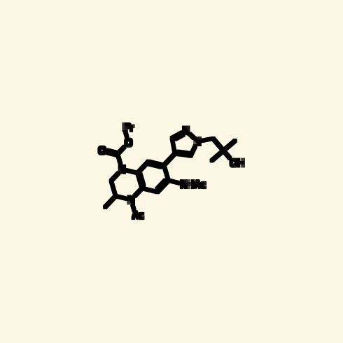 CC(=O)Nc1cc2c(cc1-c1cnn(CC(C)(C)O)c1)N(C(=O)OC(C)C)CC(C)N2C(C)=O